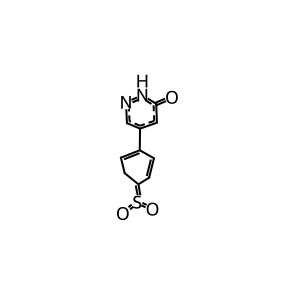 O=c1cc(C2=CCC(=S(=O)=O)C=C2)cn[nH]1